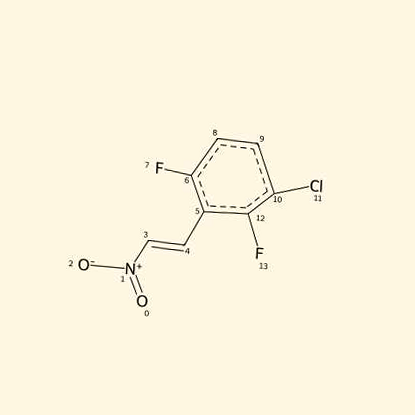 O=[N+]([O-])C=Cc1c(F)ccc(Cl)c1F